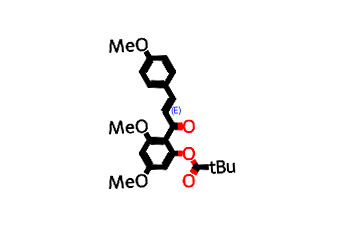 COc1ccc(/C=C/C(=O)c2c(OC)cc(OC)cc2OC(=O)C(C)(C)C)cc1